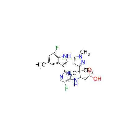 Cc1cc(F)c2[nH]cc(-c3ncc(F)c(NC(CC(=O)O)C(C)(C)c4ccn(C)n4)n3)c2c1